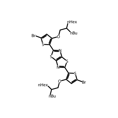 CCCCCCC(CCCC)COc1cc(Br)sc1-c1nc2sc(-c3sc(Br)cc3OCC(CCCC)CCCCCC)nc2s1